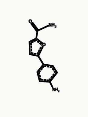 NC(=O)c1ccc(-c2ccc(N)cc2)o1